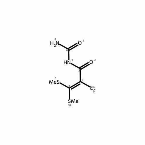 CCC(C(=O)NC(N)=O)=C(SC)SC